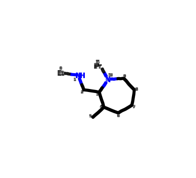 CCNCC1C(C)CCCCN1C(C)C